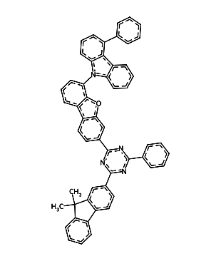 CC1(C)c2ccccc2-c2ccc(-c3nc(-c4ccccc4)nc(-c4ccc5c(c4)oc4c(-n6c7ccccc7c7c(-c8ccccc8)cccc76)cccc45)n3)cc21